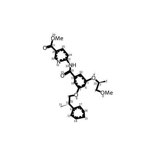 COC[C@H](C)Oc1cc(OC[C@@H](C)c2ccccc2)cc(C(=O)Nc2ccc(C(=O)OC)cn2)c1